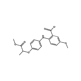 COC(=O)C(C)Oc1ccc(Nc2ccc(OC)cc2[N+](=O)[O-])cc1